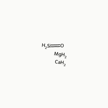 O=[SiH2].[CaH2].[MgH2]